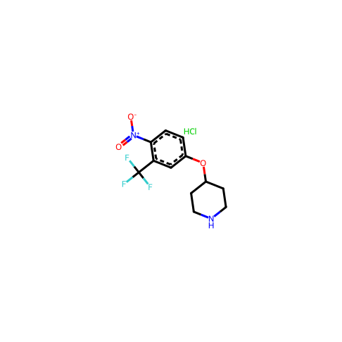 Cl.O=[N+]([O-])c1ccc(OC2CCNCC2)cc1C(F)(F)F